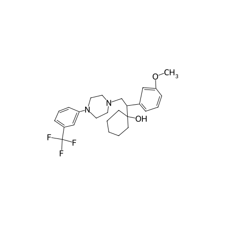 COc1cccc(C(CN2CCN(c3cccc(C(F)(F)F)c3)CC2)C2(O)CCCCC2)c1